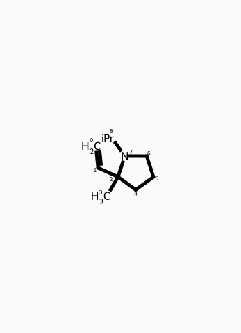 C=CC1(C)CCCN1C(C)C